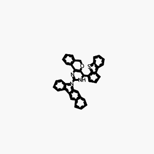 c1ccc2c(c1)COC1=C2N=C(n2c3ccccc3c3cc4ccccc4cc32)NC1c1cccc2c1sc1ccccc12